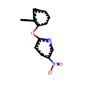 Cc1c[c]ccc1Oc1ccc([N+](=O)[O-])cn1